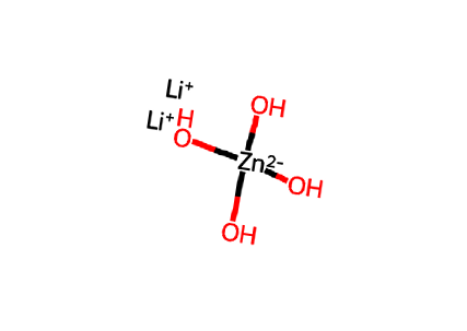 [Li+].[Li+].[OH][Zn-2]([OH])([OH])[OH]